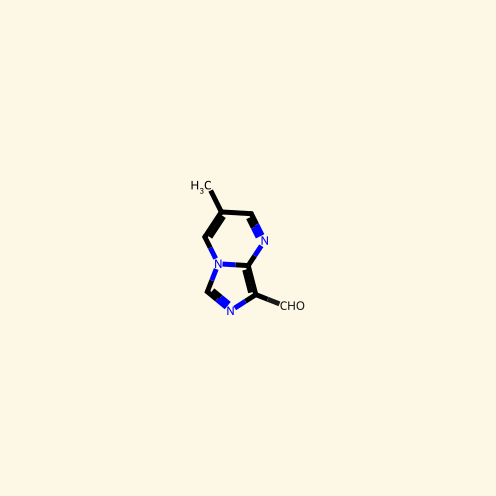 Cc1cnc2c(C=O)ncn2c1